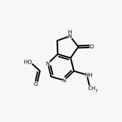 CNc1ncnc2c1C(=O)NC2.O=CO